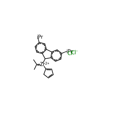 C[C](C)=[Zr+2]([C]1=CC=CC1)[CH]1c2ccc(C(C)C)cc2-c2cc(C(C)C)ccc21.[Cl-].[Cl-]